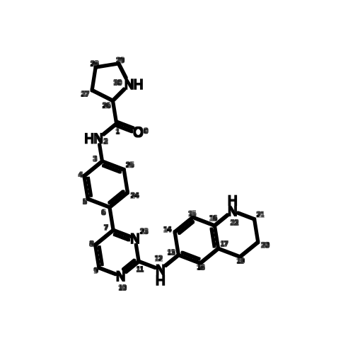 O=C(Nc1ccc(-c2ccnc(Nc3ccc4c(c3)CCCN4)n2)cc1)C1CCCN1